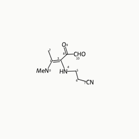 CN/C(C)=C(\NCCC#N)C(=O)C=O